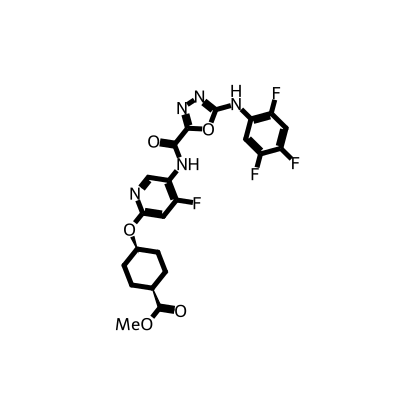 COC(=O)[C@H]1CC[C@@H](Oc2cc(F)c(NC(=O)c3nnc(Nc4cc(F)c(F)cc4F)o3)cn2)CC1